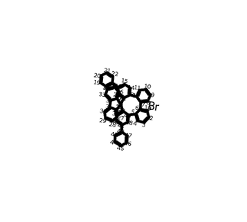 Brc1cccc2c1-c1ccccc1-c1ccc(-c3ccccc3)cc1C1(c3ccccc3-c3ccccc31)c1ccc(-c3ccccc3)cc1-2